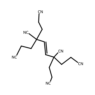 N#CCCC(C#N)(/C=C/C(C#N)(CCC#N)CCC#N)CCC#N